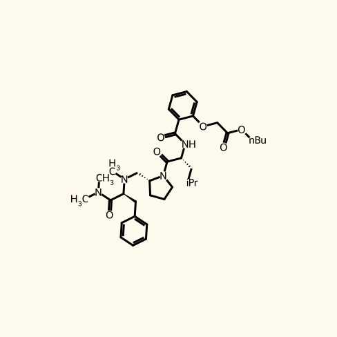 CCCCOC(=O)COc1ccccc1C(=O)N[C@H](CC(C)C)C(=O)N1CCC[C@@H]1CN(C)[C@@H](Cc1ccccc1)C(=O)N(C)C